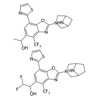 CC(O)c1cc(-c2nccs2)c2oc(N3CC4CC(C3)N4)nc2c1C(F)(F)F.OC(c1cc(-c2nccs2)c2oc(N3CC4CCC(C3)N4)nc2c1C(F)(F)F)C(F)F